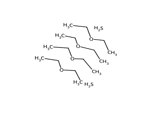 CCOCC.CCOCC.CCOCC.CCOCC.S.S